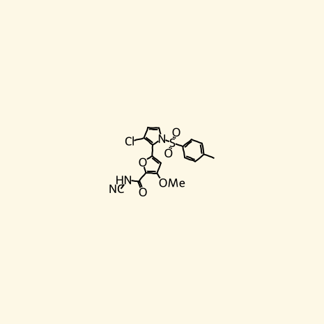 COc1cc(-c2c(Cl)ccn2S(=O)(=O)c2ccc(C)cc2)oc1C(=O)NC#N